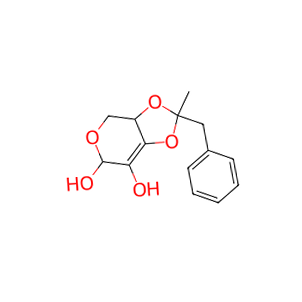 CC1(Cc2ccccc2)OC2=C(O)C(O)OCC2O1